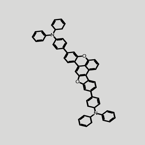 C1=CCC(N(c2ccccc2)c2ccc(-c3ccc4c(c3)Oc3cccc5c3c-4cc3oc4cc(C6=CCC(N(c7ccccc7)C7C=CC=CC7)C=C6)ccc4c35)cc2)C=C1